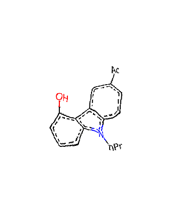 CCCn1c2ccc(C(C)=O)cc2c2c(O)cccc21